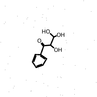 O=C(c1ccccc1)C(O)C(O)O